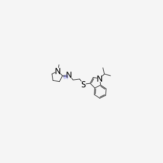 CC(C)n1cc(SCC/N=C2\CCCN2C)c2ccccc21